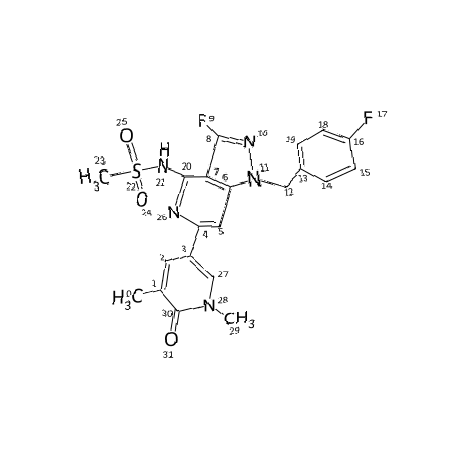 Cc1cc(-c2cc3c(c(F)nn3Cc3ccc(F)cc3)c(NS(C)(=O)=O)n2)cn(C)c1=O